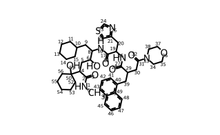 CNC(=O)C(CC(O)C(CC1CCCCC1)NC(=O)C(Cc1cscn1)NC(=O)C(CC(=O)N1CCOCC1)Cc1cccc2ccccc12)C1(O)CCCCC1